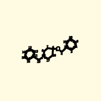 c1ccc(COC2CCN(Cc3ccccc3)CC2)cc1